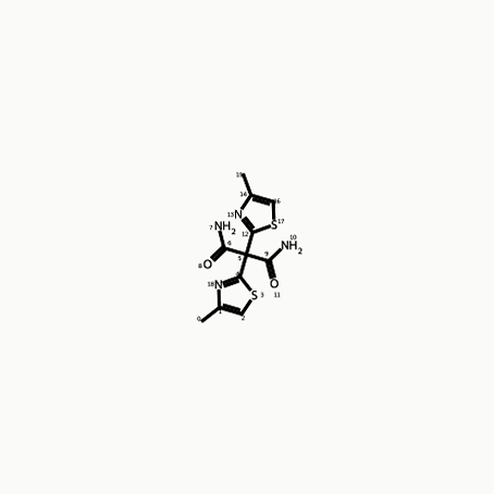 Cc1csc(C(C(N)=O)(C(N)=O)c2nc(C)cs2)n1